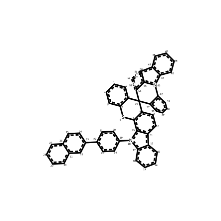 c1ccc2c(c1)Sc1c(ccc3c4ccccc4n(-c4ccc(-c5ccc6ccccc6c5)cc4)c13)C21c2ccccc2-n2c3ccccc3c3cccc1c32